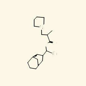 CC(CN1CCCCC1)C(=O)OC(C(C)C)C1C=C2CCCC(C2)C1